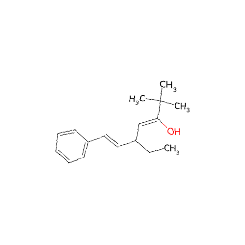 CCC(/C=C(\O)C(C)(C)C)/C=C/c1ccccc1